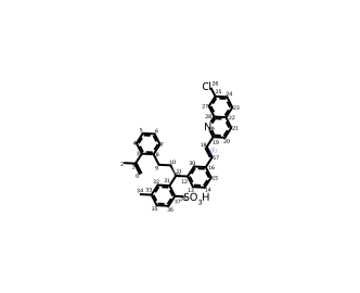 C=C(C)c1ccccc1CC[C@@H](c1cccc(/C=C/c2ccc3ccc(Cl)cc3n2)c1)c1cc(C)ccc1S(=O)(=O)O